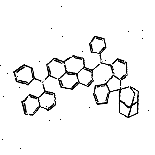 c1ccc(N(c2cccc3c2-c2ccccc2C32C3CC4CC(C3)CC2C4)c2ccc3ccc4c(N(c5ccccc5)c5cccc6ccccc56)ccc5ccc2c3c54)cc1